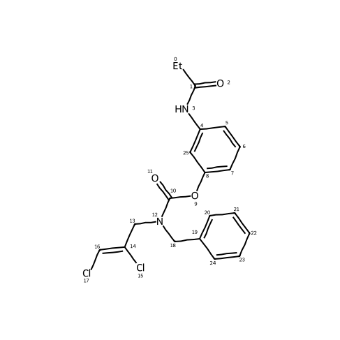 CCC(=O)Nc1cccc(OC(=O)N(CC(Cl)=CCl)Cc2ccccc2)c1